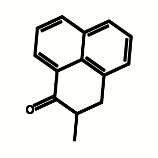 CC1Cc2cccc3cccc(c23)C1=O